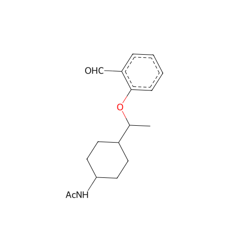 CC(=O)NC1CCC(C(C)Oc2ccccc2C=O)CC1